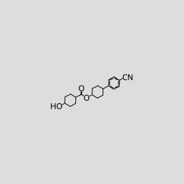 N#Cc1ccc(C2CCC(OC(=O)C3CCC(O)CC3)CC2)cc1